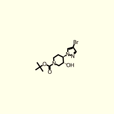 CC(C)(C)OC(=O)N1CC[C@@H](n2cc(Br)cn2)[C@H](O)C1